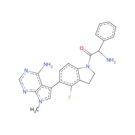 Cn1cc(-c2ccc3c(c2F)CCN3C(=O)C(N)c2ccccc2)c2c(N)ncnc21